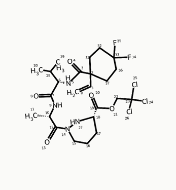 C=CC1(C(=O)N[C@H](C(=O)N[C@@H](C)C(=O)N2CCC[C@@H](C(=O)OCC(Cl)(Cl)Cl)N2)C(C)C)CCC(F)(F)CC1